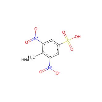 Cc1c([N+](=O)[O-])cc(S(=O)(=O)O)cc1[N+](=O)[O-].[NaH]